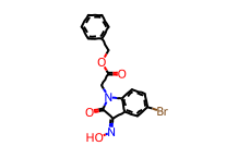 O=C(CN1C(=O)/C(=N\O)c2cc(Br)ccc21)OCc1ccccc1